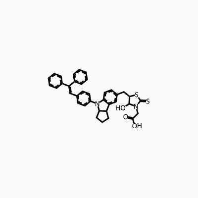 O=C(O)CN1C(=S)SC(Cc2ccc3c(c2)C2CCCC2N3c2ccc(C=C(c3ccccc3)c3ccccc3)cc2)C1O